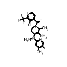 Cc1cc(N(N)C2=C(N)C(C)N(C(=O)c3ccnc(C(F)(F)F)c3Cl)CC2)ncc1F